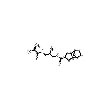 C=C(C)C(=O)OCC(O)COC(=O)C1CC2C3CCC(C3)C2C1